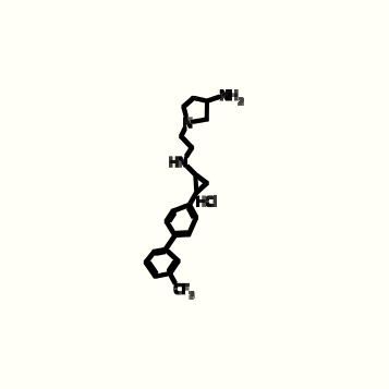 Cl.NC1CCN(CCNC2CC2c2ccc(-c3cccc(C(F)(F)F)c3)cc2)C1